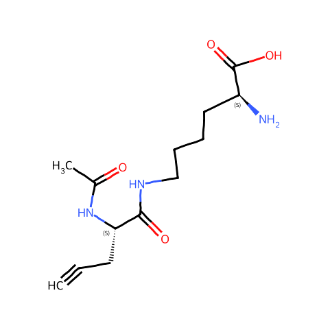 C#CC[C@H](NC(C)=O)C(=O)NCCCC[C@H](N)C(=O)O